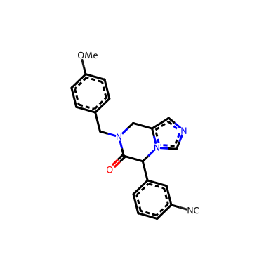 [C-]#[N+]c1cccc(C2C(=O)N(Cc3ccc(OC)cc3)Cc3cncn32)c1